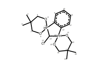 CC1(C)CO[PH]2(OC1)c1ccccc1[PH]1(OCC(C)(C)CO1)C2Cl